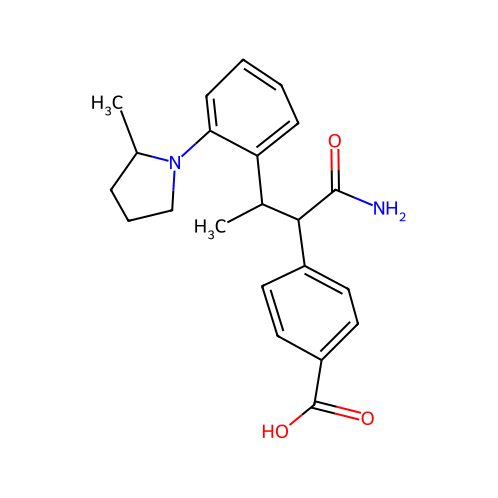 CC(c1ccccc1N1CCCC1C)C(C(N)=O)c1ccc(C(=O)O)cc1